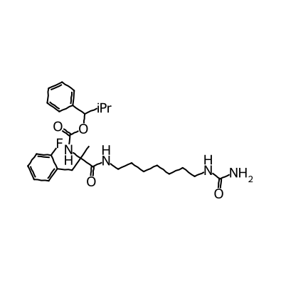 CC(C)C(OC(=O)NC(C)(Cc1ccccc1F)C(=O)NCCCCCCCNC(N)=O)c1ccccc1